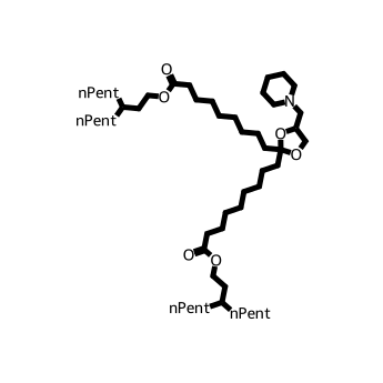 CCCCCC(CCCCC)CCOC(=O)CCCCCCCCC1(CCCCCCCCC(=O)OCCC(CCCCC)CCCCC)OCC(CN2CCCCC2)O1